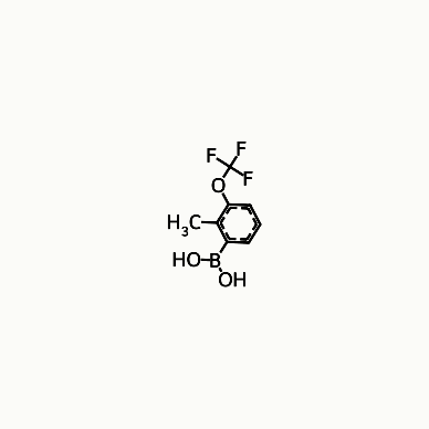 Cc1c(OC(F)(F)F)cccc1B(O)O